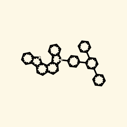 c1ccc(-c2ccc(-c3ccccc3)c(-c3ccc(-n4c5ccccc5c5c6c(ccc7c8ccccc8oc76)ccc54)cc3)c2)cc1